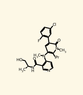 CC(C)c1c(N(C)c2ccncc2C(=O)N[C@@H](C)CO)cc(-c2cc(Cl)ccc2F)c(=O)n1C